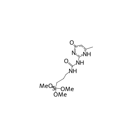 CO[Si](CCCNC(=O)Nc1nc(=O)cc(C)[nH]1)(OC)OC